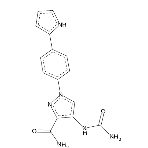 NC(=O)Nc1cn(-c2ccc(-c3ccc[nH]3)cc2)nc1C(N)=O